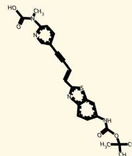 CN(C(=O)O)c1ccc(C#CC=Cc2nc3ccc(NC(=O)OC(C)(C)C)cc3s2)cn1